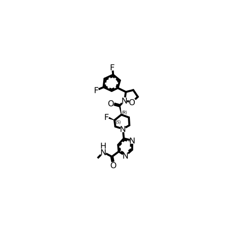 CNC(=O)c1cc(N2CC[C@H](C(=O)N3OCCC3c3cc(F)cc(F)c3)[C@H](F)C2)ncn1